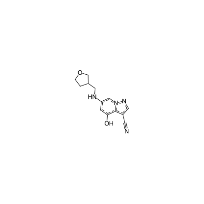 N#Cc1cnn2cc(NCC3CCOC3)cc(O)c12